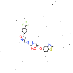 Cc1nc2cc(OC[C@@H](O)CN3CCN(CC4=NOC(c5ccc(C(F)(F)F)cc5)C4)CC3)ccc2s1